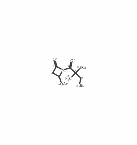 CC(=O)OC1CC(=O)N1C(=O)C(CC(C)(C)C)(C(C)(C)C)C(F)(F)F